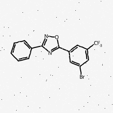 FC(F)(F)c1cc(Br)cc(-c2nc(-c3ccccc3)no2)c1